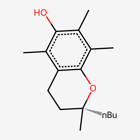 CCCC[C@]1(C)CCc2c(C)c(O)c(C)c(C)c2O1